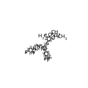 CCOC(=O)C(C)Oc1ccc(SCc2sc(-c3ccc(C(F)(F)F)cc3)nc2CN2CCN(c3ccc(F)cc3F)CC2)cc1C